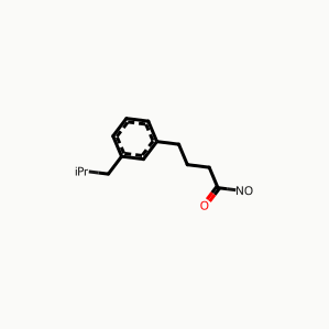 CC(C)Cc1cccc(CCCC(=O)N=O)c1